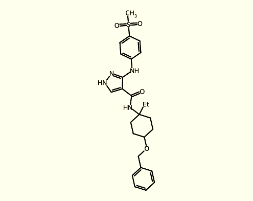 CCC1(NC(=O)c2c[nH]nc2Nc2ccc(S(C)(=O)=O)cc2)CCC(OCc2ccccc2)CC1